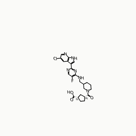 O=C(O)[C@H]1CC[C@@H](C(=O)N2CCCC(CNc3nc(-c4c[nH]c5ncc(Cl)cc45)ncc3F)C2)C1